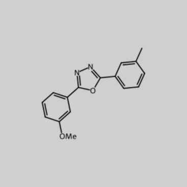 COc1cccc(-c2nnc(-c3cccc(C)c3)o2)c1